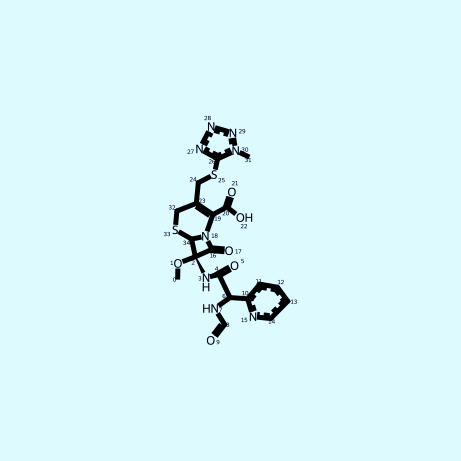 CO[C@@]1(NC(=O)C(NC=O)c2ccccn2)C(=O)N2C(C(=O)O)=C(CSc3nnnn3C)CSC21